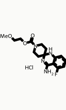 COCCOC(=O)N1CCC2(CC1)N=C(N)c1c(F)cccc1N2.Cl